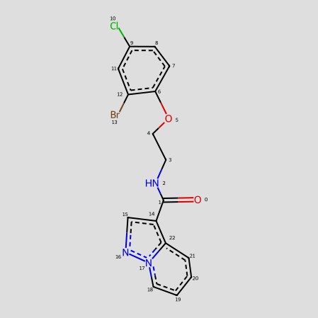 O=C(NCCOc1ccc(Cl)cc1Br)c1cnn2ccccc12